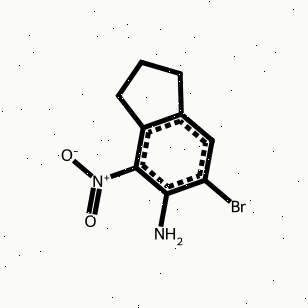 Nc1c(Br)cc2c(c1[N+](=O)[O-])CCC2